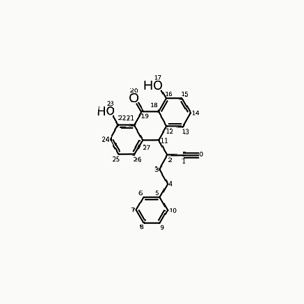 C#CC(CCc1ccccc1)C1c2cccc(O)c2C(=O)c2c(O)cccc21